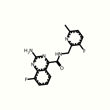 Cc1ccc(F)c(CNC(=O)c2nc(N)nc3c(F)cccc23)n1